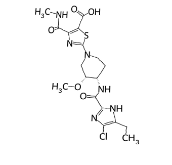 CCc1[nH]c(C(=O)N[C@H]2CCN(c3nc(C(=O)NC)c(C(=O)O)s3)C[C@H]2OC)nc1Cl